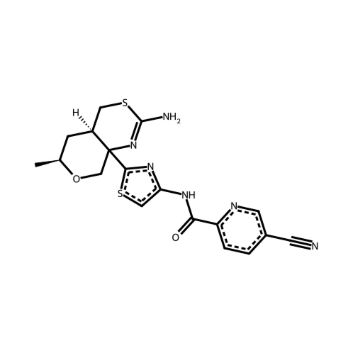 C[C@H]1C[C@H]2CSC(N)=NC2(c2nc(NC(=O)c3ccc(C#N)cn3)cs2)CO1